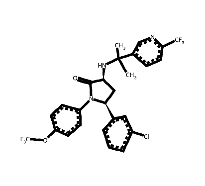 CC(C)(N[C@H]1C[C@@H](c2cccc(Cl)c2)N(c2ccc(OC(F)(F)F)cc2)C1=O)c1ccc(C(F)(F)F)nc1